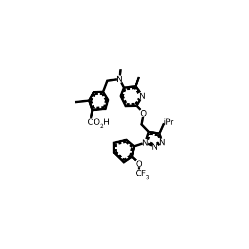 Cc1cc(CN(C)c2ccc(OCc3c(C(C)C)nnn3-c3ccccc3OC(F)(F)F)nc2C)ccc1C(=O)O